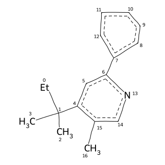 CCC(C)(C)c1cc(-c2ccccc2)ncc1C